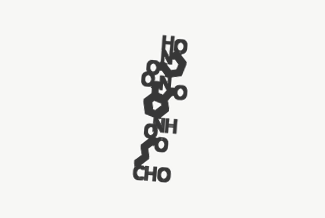 O=CCCCC(=O)ONc1ccc2c(c1)C(=O)N(C1CCC(=O)NC1=O)C2=O